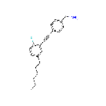 CCCCCCc1c[c]c(F)c(C#Cc2ccc(CN)cc2)c1